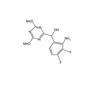 COc1nc(OC)nc(C(O)c2ccc(F)c(F)c2N)n1